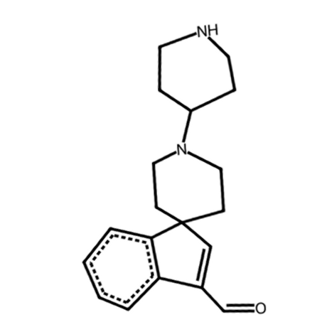 O=CC1=CC2(CCN(C3CCNCC3)CC2)c2ccccc21